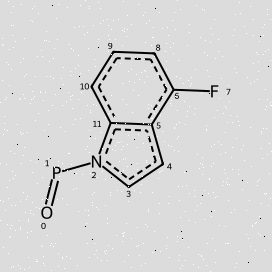 O=Pn1ccc2c(F)cccc21